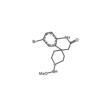 COBN1CCC2(CC1)CC(=O)Nc1ccc(Br)cc12